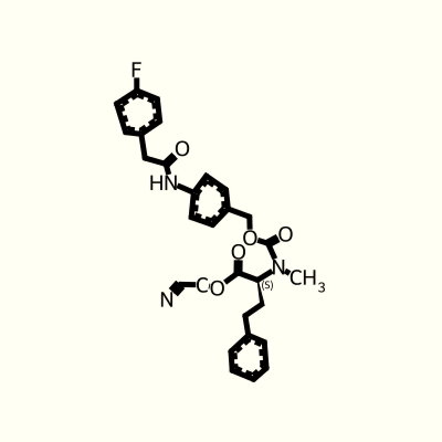 CN(C(=O)OCc1ccc(NC(=O)Cc2ccc(F)cc2)cc1)[C@@H](CCc1ccccc1)C(=O)OCC#N